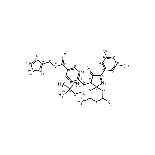 CC1CC(C)CC2(C1)N=C(c1cc(F)cc(Cl)c1)C(=O)N2[C@H](CCC(C)(C)C)c1ccc(C(=O)NCc2nn[nH]n2)cc1